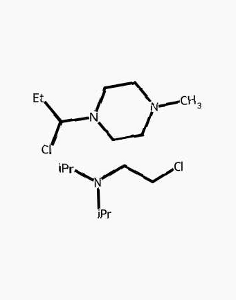 CC(C)N(CCCl)C(C)C.CCC(Cl)N1CCN(C)CC1